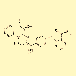 Cl.Cl.NC(=O)c1cccnc1Oc1ccc(C[C@@H](CO)NC(Oc2ccccc2)[C@H](O)CF)cc1